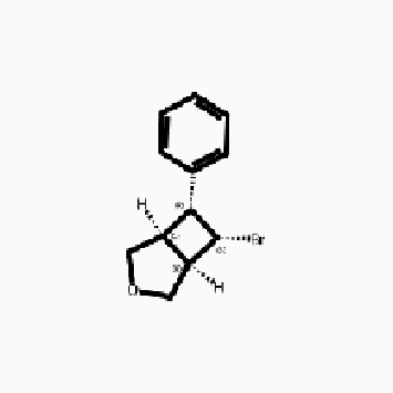 Br[C@@H]1[C@H]2COC[C@H]2[C@@H]1c1ccccc1